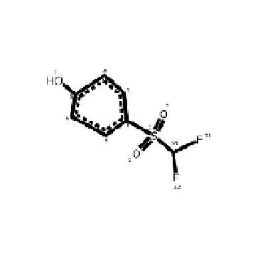 O=S(=O)(c1ccc(O)cc1)C(F)F